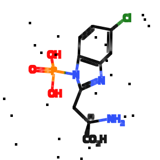 N[C@H](Cc1nc2cc(Cl)ccc2n1P(=O)(O)O)C(=O)O